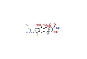 CCCCN(CC)Cc1cc(O)c2c(c1F)CC1C[C@H]3CC(O)=C(C(N)=O)C(=O)[C@@]3(O)C(O)=C1C2=O